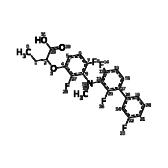 CCC(Oc1ccc(F)c(N(C)c2c(F)ccc(-c3cccc(F)c3)c2F)c1F)C(=O)O